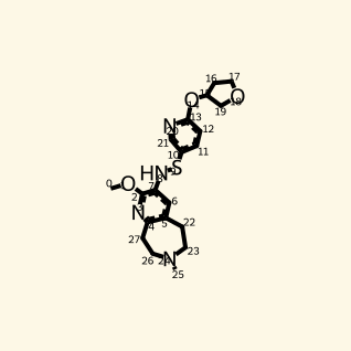 COc1nc2c(cc1NSc1ccc(OC3CCOC3)nc1)CCN(C)CC2